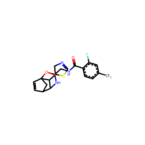 O=C(NCC1NC2C3C=CC(C3)(O1)C2C1CN=CS1)c1ccc(C(F)(F)F)cc1F